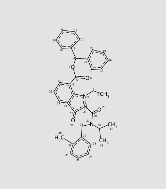 CCn1c2c(C(=O)OC(c3ccccc3)c3ccccc3)cccc2c(=O)n1C(=O)N(Cc1ccccc1C)C(C)C